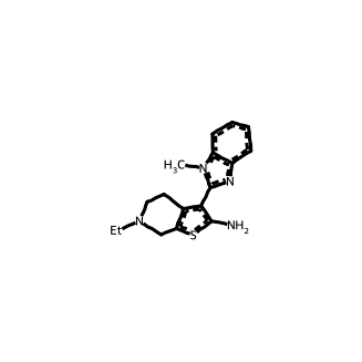 CCN1CCc2c(sc(N)c2-c2nc3ccccc3n2C)C1